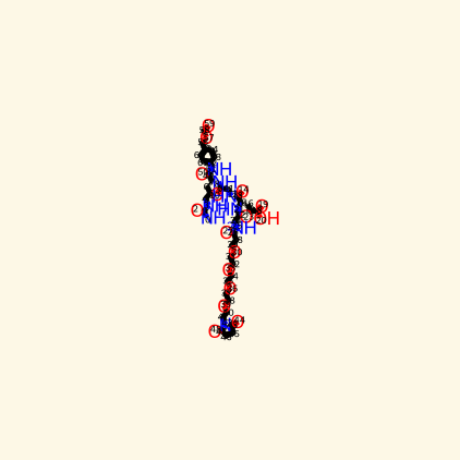 NC(=O)NCCC[C@H](NC(=O)CNC(=O)[C@H](CCC(=O)O)NC(=O)CNC(=O)CCOCCOCCOCCOCCN1C(=O)C=CC1=O)C(=O)Nc1ccc(COC=O)cc1